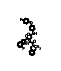 CN(Cc1ccccc1F)C(=O)CN(CC(=O)Nc1ccc(Oc2ccc(F)cc2)cc1)C(=O)c1cc2cccc(F)c2[nH]1